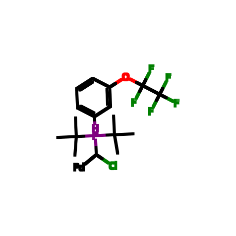 CC(C)(C)[PH](c1cccc(OC(F)(F)C(F)(F)F)c1)([CH](Cl)[Pd])C(C)(C)C